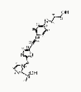 C[C@H](O)c1nccn1Cc1ncc(C#Cc2ccc(OCCCO)cc2)o1